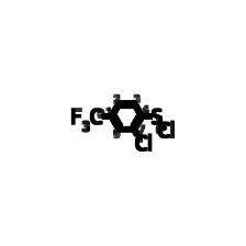 FC(F)(F)c1ccc(SCl)c(Cl)c1